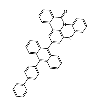 O=c1c2ccccc2c2cc(-c3c4ccccc4c(-c4ccc(-c5ccccc5)cc4)c4ccccc34)cc3c2n1-c1ccccc1O3